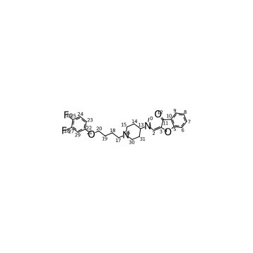 CN(C=C1Oc2ccccc2C1=O)C1CCN(CCCCOc2ccc(F)c(F)c2)CC1